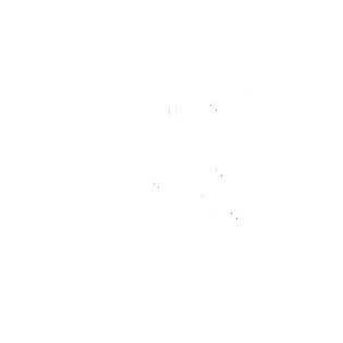 CC(C)C[C@@H]1NC(=O)C2(CCN(CCCCc3ccccc3)CC2)N(CCN(C)C)C1=O